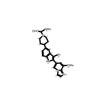 CNC(C=O)N1CCC(c2ccc3[nH]c(-c4cc(OC)c5nccn5c4)c(C(C)C)c3c2)CC1